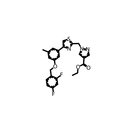 CCOC(=O)c1cnn(Cc2nc(-c3cc(C)cc(OCc4ccc(F)cc4F)c3)cs2)c1